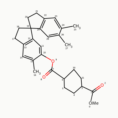 COC(=O)C1CCC(C(=O)Oc2cc3c(cc2C)CCC32CCc3cc(C)c(C)cc32)CC1